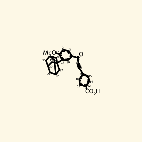 COc1ccc(C(=O)C#Cc2ccc(C(=O)O)cc2)cc1C12CC3CC(CC(C3)C1)C2